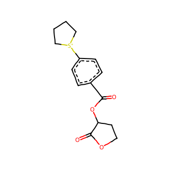 O=C(OC1CCOC1=O)c1ccc([S+]2CCCC2)cc1